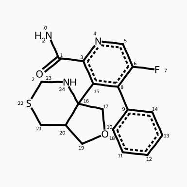 NC(=O)c1ncc(F)c(-c2ccccc2)c1C12COCC1CSCN2